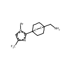 CC(C)n1cc(C(F)(F)F)nc1C12CCC(CN)(CC1)CC2